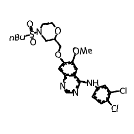 CCCCS(=O)(=O)N1CCOC(COc2cc3ncnc(Nc4ccc(Cl)c(Cl)c4)c3cc2OC)C1